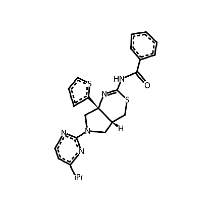 CC(C)c1ccnc(N2C[C@H]3CSC(NC(=O)c4ccccc4)=N[C@@]3(c3cccs3)C2)n1